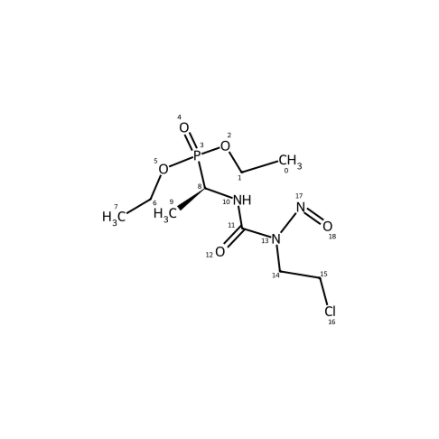 CCOP(=O)(OCC)[C@H](C)NC(=O)N(CCCl)N=O